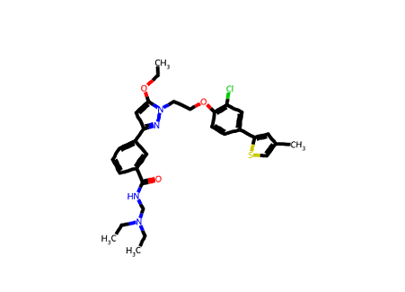 CCOc1cc(-c2cccc(C(=O)NCN(CC)CC)c2)nn1CCOc1ccc(-c2cc(C)cs2)cc1Cl